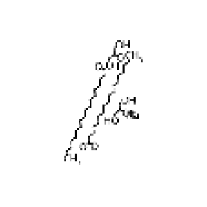 CCCCCCCCCCCCCCCCCC(=O)OCC(O)CO.CCCCCCCCCCCCCCCCCC(=O)[O-].OCC(O)CO.[Na+]